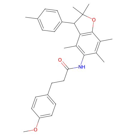 COc1ccc(CCC(=O)Nc2c(C)c(C)c3c(c2C)C(c2ccc(C)cc2)C(C)(C)O3)cc1